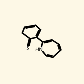 S=C1CC=CC=C1C1=CC=CC=CN1